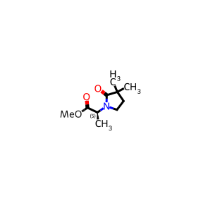 COC(=O)[C@H](C)N1CCC(C)(C)C1=O